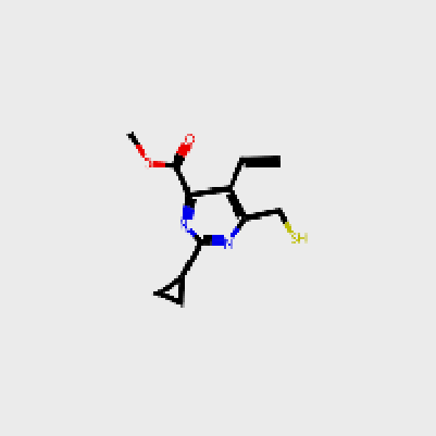 C=Cc1c(CS)nc(C2CC2)nc1C(=O)OC